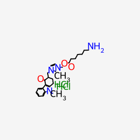 CC1N(COC(=O)CCCCCCN)C=CN1CC1CCc2c(c3ccccc3n2C)C1=O.Cl.Cl